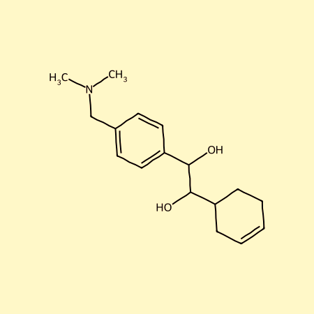 CN(C)Cc1ccc(C(O)C(O)C2CC=CCC2)cc1